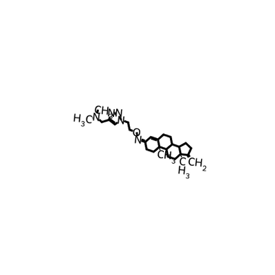 C=C1CCC2C3CCC4=CC(=NOCCn5cc(CN(C)C)nn5)CC[C@]4(C)C3CC[C@]12C